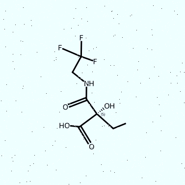 CC[C@@](O)(C(=O)O)C(=O)NCC(F)(F)F